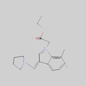 CCOC(=O)C[N+]1=C/C(=C\N2CCCC2)c2cccc(C)c21.[Br-]